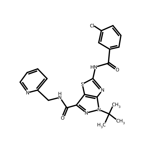 CC(C)(C)n1nc(C(=O)NCc2ccccn2)c2sc(NC(=O)c3cccc(Cl)c3)nc21